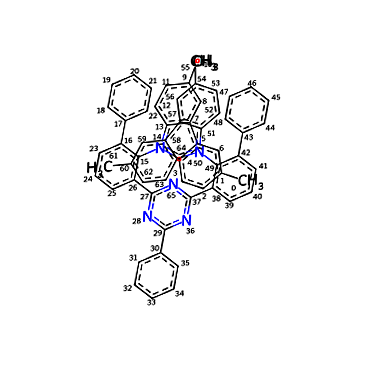 Cc1ccc2c(c1)c1cc(C)ccc1n2-c1c(-c2ccccc2)cccc1-c1nc(-c2ccccc2)nc(-c2cccc(-c3ccccc3)c2-n2c3ccc(C)cc3c3cc(C)ccc32)n1